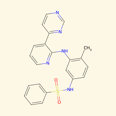 Cc1ccc(NS(=O)(=O)c2ccccc2)cc1Nc1ncccc1-c1ccncn1